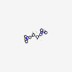 N#Cc1cc(-c2cc(C#N)cc(-c3ccc4c(c3)c3cccc5c3n4-c3ccccc3S5)c2)cc(-c2ccc3c(c2)c2cccc4c2n3-c2ccccc2S4)c1